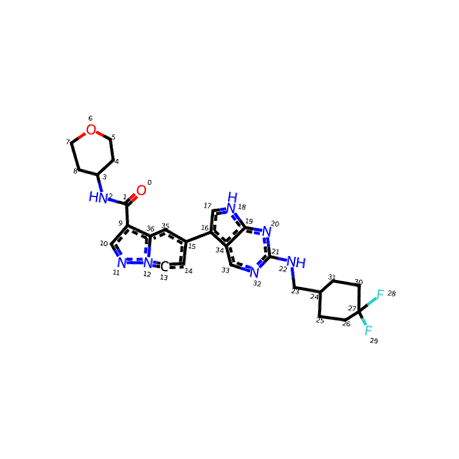 O=C(NC1CCOCC1)c1cnn2ccc(-c3c[nH]c4nc(NCC5CCC(F)(F)CC5)ncc34)cc12